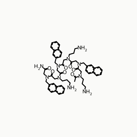 CC(=O)N(CCCN)CC(=O)N(CC(=O)N(CCCN)CC(=O)N(CC(=O)N(CCCN)CC(=O)N(CC(N)=O)Cc1ccc2ccccc2c1)Cc1ccc2ccccc2c1)Cc1ccc2ccccc2c1